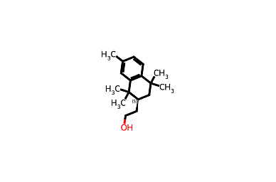 Cc1ccc2c(c1)C(C)(C)[C@H](CCO)CC2(C)C